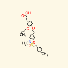 CCCCOc1cc(CCC(=O)O)ccc1OCCc1ccc(N(C)S(=O)(=O)CCc2ccc(C)cc2)cc1